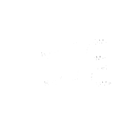 C=CCc1ccc(O)c(OC)c1.C=CCc1ccc(OC)c(OC)c1